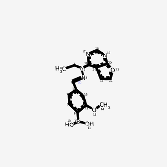 CCN(/N=C/c1ccc(B(O)O)c(OC)c1)c1ncnc2occc12